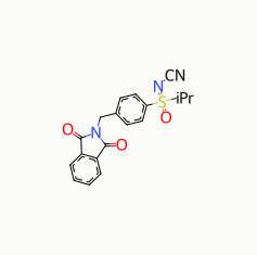 CC(C)S(=O)(=NC#N)c1ccc(CN2C(=O)c3ccccc3C2=O)cc1